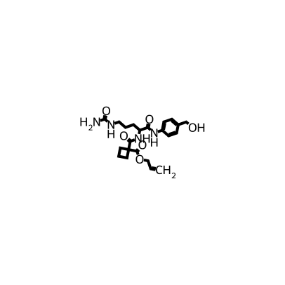 C=CCOC(=O)C1(C(=O)NC(CCCNC(N)=O)C(=O)Nc2ccc(CO)cc2)CCC1